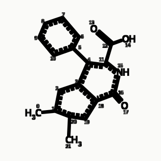 Cc1cc2c(-c3ccccc3)c(C(=O)O)[nH]c(=O)c2cc1C